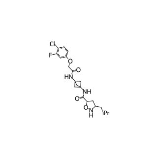 CC(C)CC1CC(C(=O)NC23CC(NC(=O)COc4ccc(Cl)c(F)c4)(C2)C3)ON1